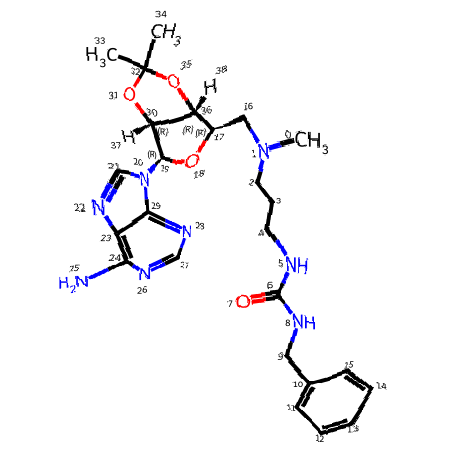 CN(CCCNC(=O)NCc1ccccc1)C[C@H]1O[C@@H](n2cnc3c(N)ncnc32)[C@@H]2OC(C)(C)O[C@@H]21